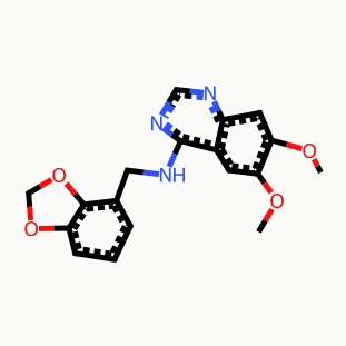 COc1cc2ncnc(NCc3cccc4c3OCO4)c2cc1OC